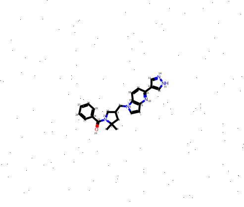 CC1(C)CC(Cn2ccc3nc(-c4cn[nH]c4)ccc32)CN1C(=O)c1ccccc1